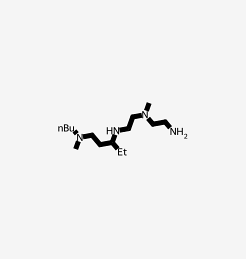 CCCCN(C)CCC(CC)NCCN(C)CCN